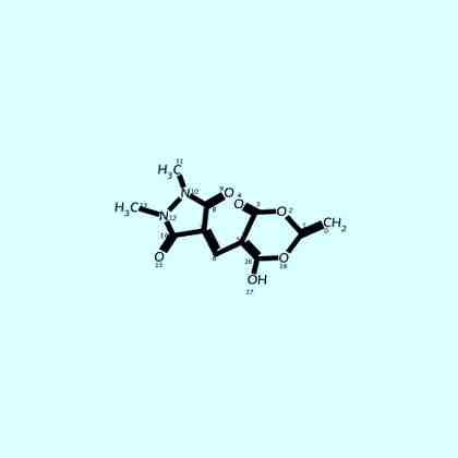 C=C1OC(=O)C(C=C2C(=O)N(C)N(C)C2=O)=C(O)O1